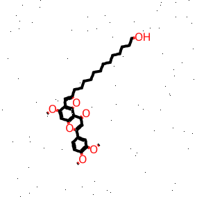 COc1ccc(-c2cc(=O)c3c(cc(OC)c4cc(CCCCCCCCCCCCCO)oc43)o2)cc1OC